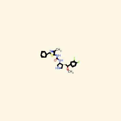 COC(C[C@@H]1CNC[C@H]1NC(=O)Nc1sc(-c2ccccc2)nc1C)c1ccc(F)c(F)c1